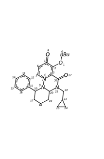 CCCCOc1c2n(ccc1=O)N1C(c3ccccc3)CCCC1N(CC1CC1)C2=O